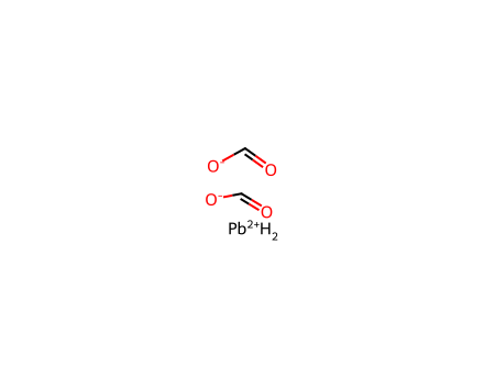 O=C[O-].O=C[O-].[PbH2+2]